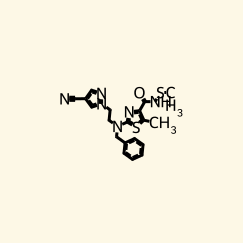 CSNC(=O)c1nc(N(CCn2cc(C#N)cn2)Cc2ccccc2)sc1C